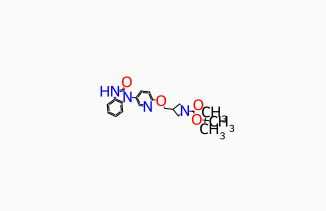 CC(C)(C)OC(=O)N1CC(COc2ccc(-n3c(=O)[nH]c4ccccc43)cn2)C1